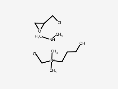 CNC.C[N+](C)(CCl)CCCO.ClCC1CO1